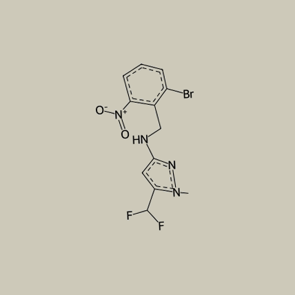 Cn1nc(NCc2c(Br)cccc2[N+](=O)[O-])cc1C(F)F